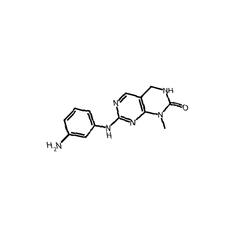 CN1C(=O)NCc2cnc(Nc3cccc(N)c3)nc21